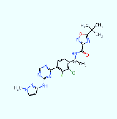 C[C@H](NC(=O)c1noc(C(C)(C)C)n1)c1ccc(-c2ncnc(Nc3ccn(C)n3)n2)c(F)c1Cl